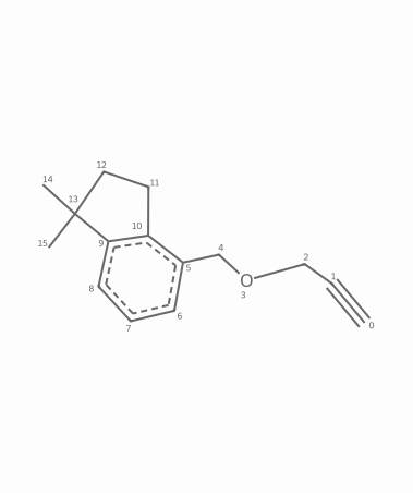 C#CCOCc1cccc2c1CCC2(C)C